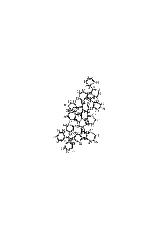 c1ccc(-c2cccc([Si](c3ccccc3)(c3ccccc3)c3cc(-c4ccccc4)c(-n4c5ccccc5c5cc(-n6c7ccccc7c7ccc([Si](c8ccccc8)(c8ccccc8)c8ccccc8)cc76)ccc54)c(-c4ccccc4)c3)c2)cc1